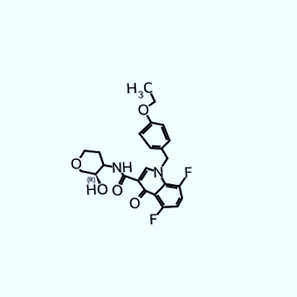 CCOc1ccc(Cn2cc(C(=O)NC3CCOC[C@@H]3O)c(=O)c3c(F)ccc(F)c32)cc1